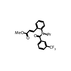 COC(=O)C=Cc1ccccc1N(C(=O)c1cccc(C(F)(F)F)c1)C(C)C